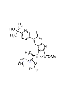 C=C(/C(=C\C=C/C)OC(F)F)[C@@H]1C[C@H](OC)c2nc3cc(F)c(-c4cnc(C(C)(C)O)nc4)cc3n21